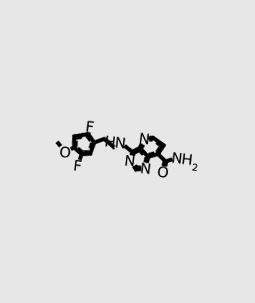 COc1cc(F)c(CCNc2ncnc3c(C(N)=O)ccnc23)cc1F